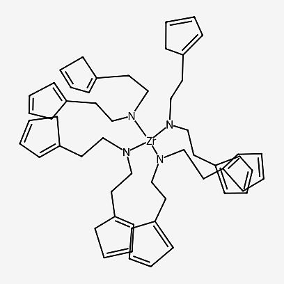 C1=CCC(CC[N](CCC2=CC=CC2)[Zr]([N](CCC2=CC=CC2)CCC2=CC=CC2)([N](CCC2=CC=CC2)CCC2=CC=CC2)[N](CCC2=CC=CC2)CCC2=CC=CC2)=C1